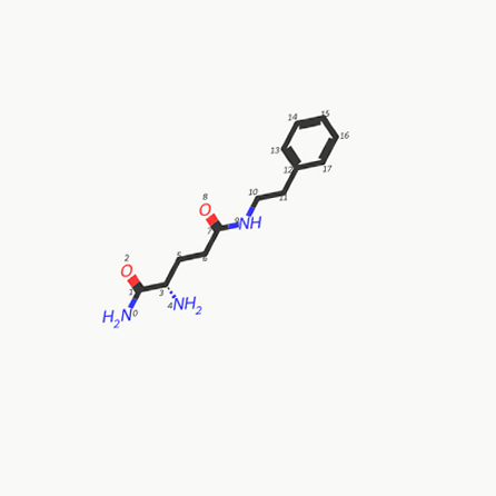 NC(=O)[C@@H](N)CCC(=O)NCCc1ccccc1